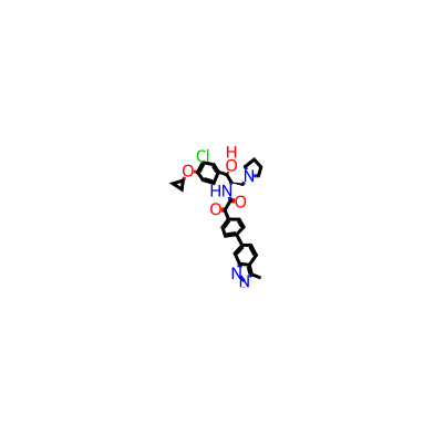 Cc1c2ccc(-c3ccc(C(=O)C(=O)N[C@H](CN4CCCC4)[C@H](O)c4ccc(OC5CC5)c(Cl)c4)cc3)cc2nn1C